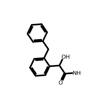 [NH]C(=O)C(O)c1ccccc1Cc1ccccc1